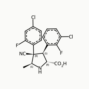 C[C@@H]1N[C@@H](C(=O)O)[C@H](c2cccc(Cl)c2F)[C@@]1(C#N)c1ccc(Cl)cc1F